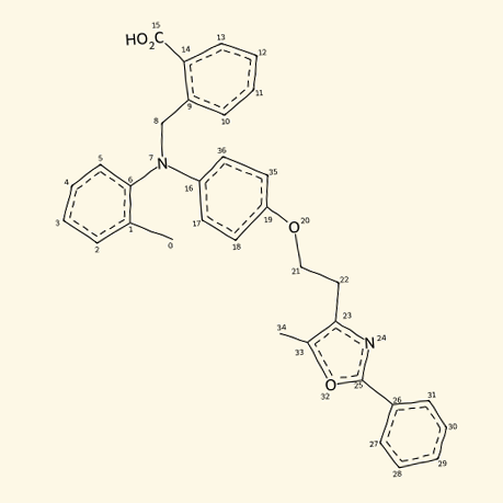 Cc1ccccc1N(Cc1ccccc1C(=O)O)c1ccc(OCCc2nc(-c3ccccc3)oc2C)cc1